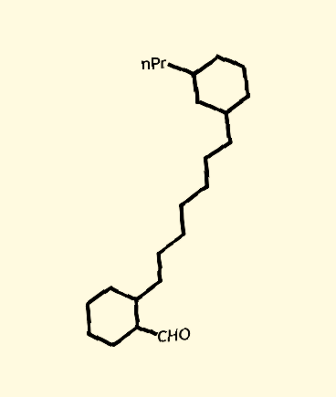 CCCC1CCCC(CCCCCCCC2CCCCC2C=O)C1